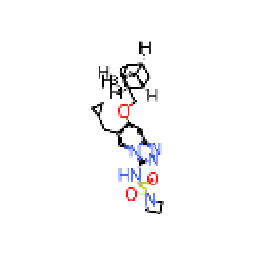 CC1(C)[C@H]2CC[C@H](COc3cc4nnc(NS(=O)(=O)N5CCC5)n4cc3CC3CC3)[C@@H]1C2